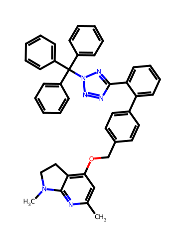 Cc1cc(OCc2ccc(-c3ccccc3-c3nnn(C(c4ccccc4)(c4ccccc4)c4ccccc4)n3)cc2)c2c(n1)N(C)CC2